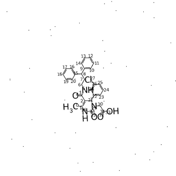 CC1=C(C(=O)NCCC(c2ccccc2)c2ccccc2)C(c2cccc(Cl)c2)N(CC(=O)O)C(=O)N1